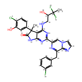 CC1(c2ccc(Cl)c(O)c2)C(=O)Nc2nc(-c3cn4ccnc4c(Cc4cccc(F)c4)n3)nc(NCC(O)C(C)(F)F)c21